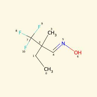 CCC(C)(C=NO)C(F)(F)F